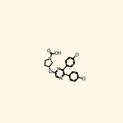 O=C(O)N1CC[C@H](Oc2cnc(-c3ccc(Cl)cc3)c(-c3ccc(Cl)cc3)n2)C1